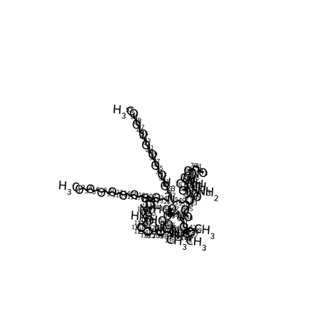 COCCOCCOCCOCCOCCOCCOCCOCCCN(CCCOCCOCCOCCOCCOCCOCCOCCOC)CCCc1cc(N(C(=O)[C@@H](NC(=O)CN2C(=O)C=CC2=O)C(C)C)[C@@H](C)C(N)=O)ccc1COC(=O)N(CCOC12CC3(C)CC(C)(CC(Cn4ncc(-c5ccc(-c6ccc7cccc(C(=O)Nc8nc9ccccc9s8)c7c6)nc5C(=O)O)c4C)(C3)C1)C2)CCS(=O)(=O)O